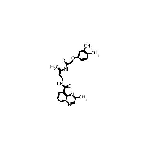 C=C(CCNC(=O)c1cccc2ncc(C)nc12)NC(=O)COc1ccc(C)c(C)c1